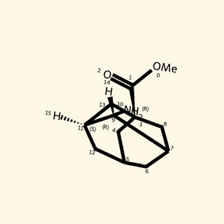 COC(=O)[C@]12CC3CC(C1)[C@@H](N)[C@@H](C3)C2